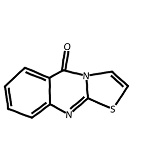 O=c1c2ccccc2nc2sccn12